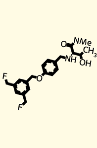 CNC(=O)[C@@H](NCc1ccc(OCc2cc(CF)cc(CF)c2)cc1)C(C)O